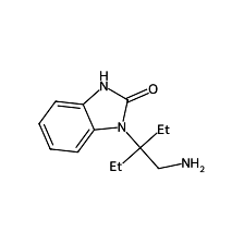 CCC(CC)(CN)n1c(=O)[nH]c2ccccc21